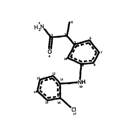 CC(C(N)=O)c1cccc(Nc2ccccc2Cl)c1